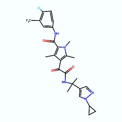 Cc1c(C(=O)C(=O)NC(C)(C)c2cnn(C3CC3)c2)c(C)n(C)c1C(=O)Nc1ccc(F)c(C(F)(F)F)c1